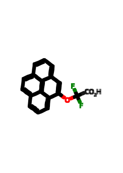 O=C(O)C(F)(F)Oc1cc2cccc3ccc4cccc1c4c32